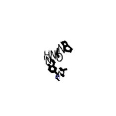 C=C(C)N(C)/C(=C\C)c1ccc2cnc(NC(=O)CN3C4CCC5CCC543)cc2c1